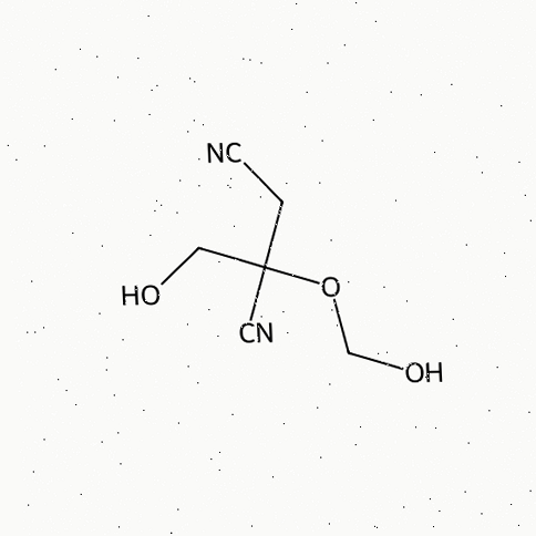 N#CCC(C#N)(CO)OCO